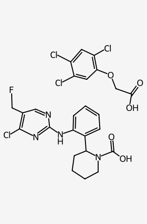 O=C(O)COc1cc(Cl)c(Cl)cc1Cl.O=C(O)N1CCCCC1c1ccccc1Nc1ncc(CF)c(Cl)n1